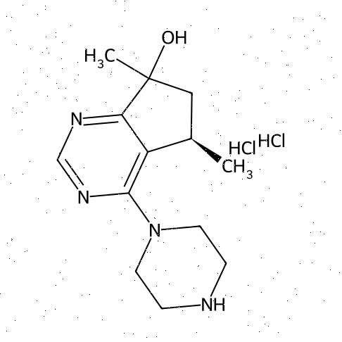 C[C@@H]1CC(C)(O)c2ncnc(N3CCNCC3)c21.Cl.Cl